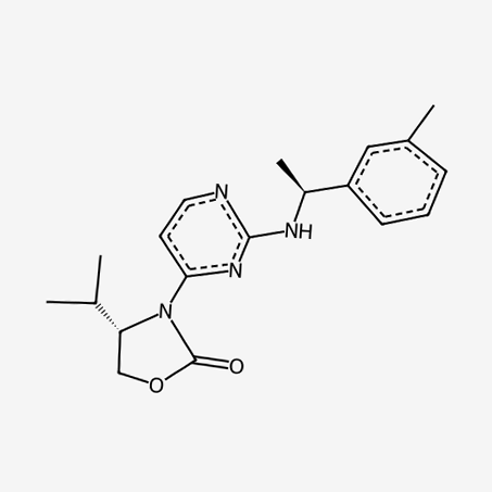 Cc1cccc([C@H](C)Nc2nccc(N3C(=O)OC[C@@H]3C(C)C)n2)c1